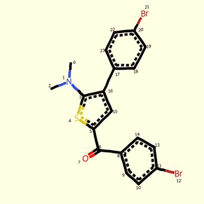 CN(C)c1sc(C(=O)c2ccc(Br)cc2)cc1-c1ccc(Br)cc1